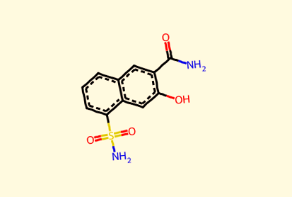 NC(=O)c1cc2cccc(S(N)(=O)=O)c2cc1O